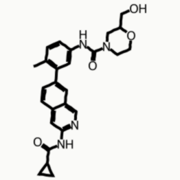 Cc1ccc(NC(=O)N2CCOC(CO)C2)cc1-c1ccc2cc(NC(=O)C3CC3)ncc2c1